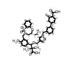 CC[C@@H]1CN(Cc2cc(C(OCc3cn(Cc4cccc(-c5ccc(C(=O)O)c(F)c5)c4)nn3)C(C)(C)C(=O)O)ccc2C)S(=O)(=O)c2ccccc2O1